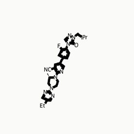 CCc1cnc(N2CCN(c3ncc(-c4ccc(-n5cnn(CC(C)C)c5=O)c(F)c4)cc3C#N)[C@@H](C)C2)nc1